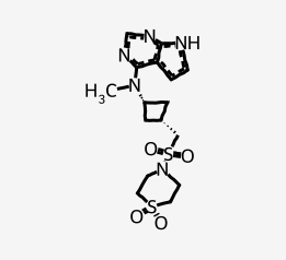 CN(c1ncnc2[nH]ccc12)[C@H]1C[C@@H](CS(=O)(=O)N2CCS(=O)(=O)CC2)C1